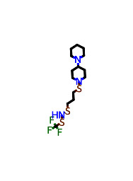 FC(F)(F)SNSCCCSN1CCC(N2CCCCC2)CC1